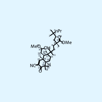 CCCC(C)(C)CC[C@@](C)(CCC(C)(C)[C@]1(C)CC[C@H]2C(C)(C)C(=O)C(C#N)=C[C@]2(C)[C@H]1CC(O)OC)C(=O)OC